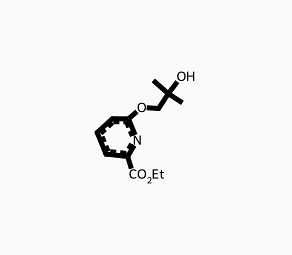 CCOC(=O)c1cccc(OCC(C)(C)O)n1